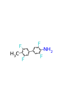 Cc1c(F)cc(-c2cc(F)c(N)c(F)c2)cc1F